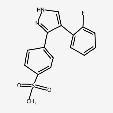 CS(=O)(=O)c1ccc(-c2n[nH]cc2-c2ccccc2F)cc1